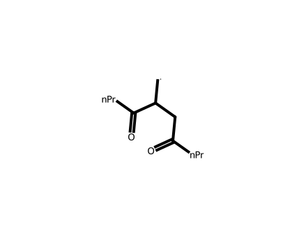 [CH2]C(CC(=O)CCC)C(=O)CCC